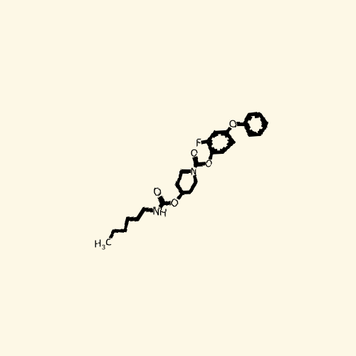 CCCCCCNC(=O)OC1CCN(C(=O)Oc2ccc(Oc3ccccc3)cc2F)CC1